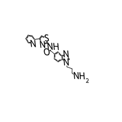 NCCCn1cnc2cc(C(=O)Nc3nc(-c4ccccn4)cs3)ccc21